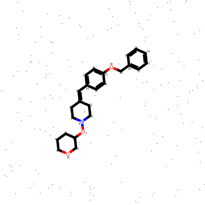 C(=C1CCN(OC2CCCOC2)CC1)c1ccc(OCc2ccccc2)cc1